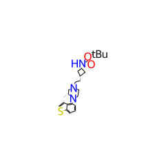 C[C@@H]1CN(CC[C@H]2C[C@@H](NC(=O)OC(C)(C)C)C2)CCN1c1cccc2sccc12